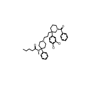 CCCCC(=O)N(C)C1(c2ccccc2)CCN(CCCC2(c3ccc(Cl)c(Cl)c3)CCCN(C(=O)c3ccccc3)C2)CC1